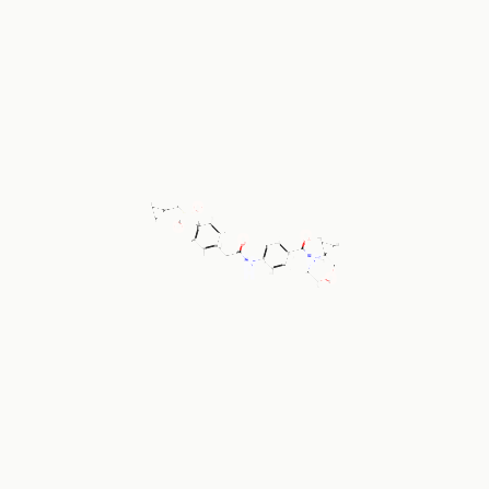 O=C(Cc1ccc(S(=O)(=O)CC2CC2)cc1)Nc1ccc(C(=O)N2CCOCC23CC3)cc1